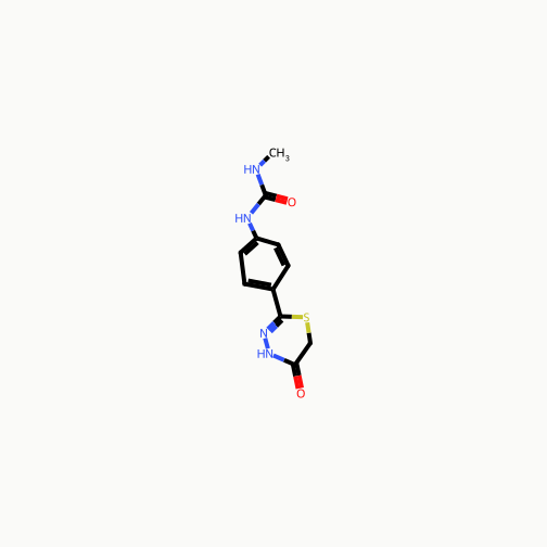 CNC(=O)Nc1ccc(C2=NNC(=O)CS2)cc1